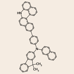 CC1(C)c2ccccc2-c2ccc(N(c3ccc(-c4ccc5c6c(ccc5c4)Nc4cccc5cccc-6c45)cc3)c3ccc4ccccc4c3)cc21